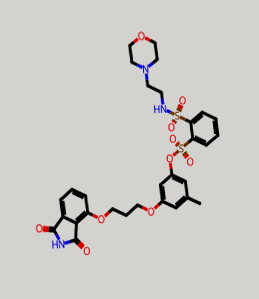 Cc1cc(OCCCOc2cccc3c2C(=O)NC3=O)cc(OS(=O)(=O)c2ccccc2S(=O)(=O)NCCN2CCOCC2)c1